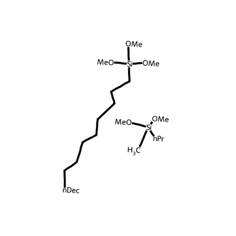 CCCCCCCCCCCCCCCCCC[Si](OC)(OC)OC.CCC[Si](C)(OC)OC